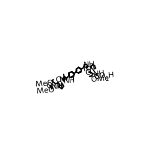 COC(=O)N[C@H](C(=O)N1CCC[C@H]1c1nc(C)c(-c2ccc(-c3ccc(-c4c[nH]c([C@@H]5CCCN5C(=O)[C@@H](NC(=O)O)[C@@H](C)OC)n4)cc3)cc2)[nH]1)[C@@H](C)OC